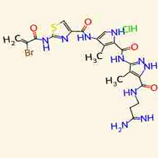 C=C(Br)C(=O)Nc1nc(C(=O)Nc2c[nH]c(C(=O)Nc3n[nH]c(C(=O)NCCC(=N)N)c3C)c2C)cs1.Cl